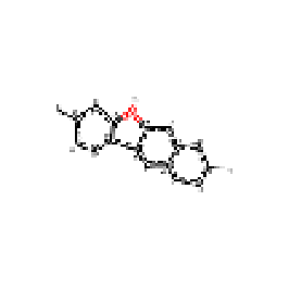 Cc1ccc2cc3c(cc2c1)oc1cc(C)ccc13